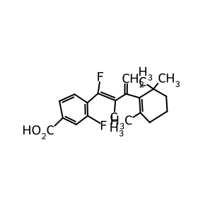 C=C(C1=C(C)CCCC1(C)C)/C(C)=C(\F)c1ccc(C(=O)O)cc1F